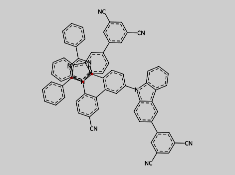 N#Cc1cc(C#N)cc(-c2ccc3c(c2)c2ccccc2n3-c2ccc(-c3nc(-c4ccccc4)nc(-c4ccccc4)n3)c(-c3cc(C#N)ccc3-n3c4ccccc4c4cc(-c5cc(C#N)cc(C#N)c5)ccc43)c2)c1